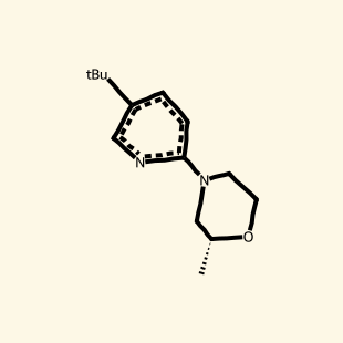 C[C@@H]1CN(c2ccc(C(C)(C)C)cn2)CCO1